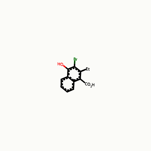 CCc1c(Br)c(O)c2ccccc2c1C(=O)O